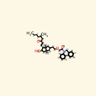 CCCCC(C)CC(=O)C=C[C@H]1[C@@H]2CC(CCOCC(=O)N(Cc3ccccc3)c3ccccc3)C[C@H]2C[C@@H]1O